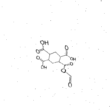 O=COC(=O)C1CC(C(=O)O)C(C(=O)O)CC1C(=O)O